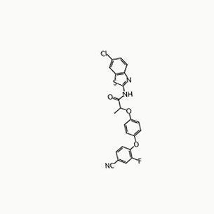 CC(Oc1ccc(Oc2ccc(C#N)cc2F)cc1)C(=O)Nc1nc2ccc(Cl)cc2s1